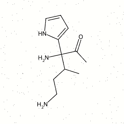 CC(=O)C(N)(c1ccc[nH]1)C(C)CCN